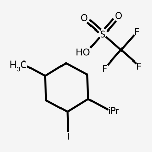 CC1CCC(C(C)C)C(I)C1.O=S(=O)(O)C(F)(F)F